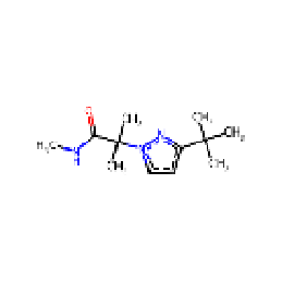 CNC(=O)C(C)(C)n1ccc(C(C)(C)C)n1